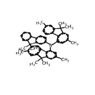 Cc1ccc2c(c1)C(C)(C)c1cc(C)cc(N(c3ccc4c(c3)C(C)(C)c3ccccc3-4)c3cc(C)cc4c3-c3ccc(C)cc3C4(C)C)c1-2